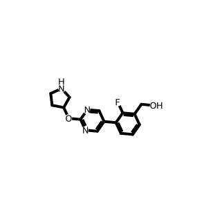 OCc1cccc(-c2cnc(OC3CCNC3)nc2)c1F